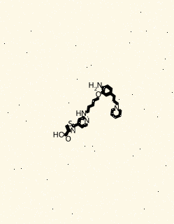 Nc1ccc(CCCN2CCCCC2)cc1OCCCCCNc1cc(-c2nc(C(=O)O)cs2)ccn1